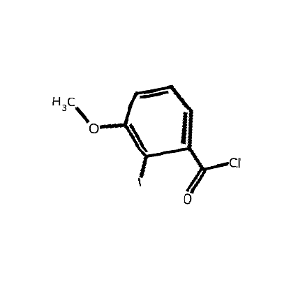 COc1cccc(C(=O)Cl)c1I